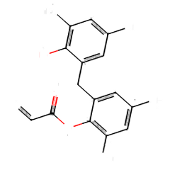 C=CC(=O)Oc1c(Cc2cc(C)cc(C(C)CC)c2O)cc(C)cc1C(C)CC